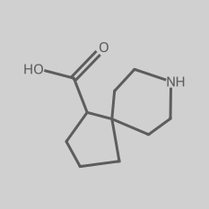 O=C(O)C1CCCC12CCNCC2